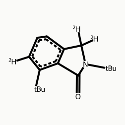 [2H]c1ccc2c(c1C(C)(C)C)C(=O)N(C(C)(C)C)C2([2H])[2H]